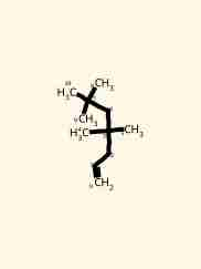 C=C[CH]C(C)(C)CC(C)(C)C